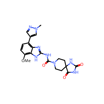 COc1ccc(-c2cnn(C)c2)c2nc(NC(=O)N3CCC4(CC3)NC(=O)NC4=O)[nH]c12